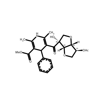 COC(=O)C1=C(C)NC(C)=C(C(=O)[C@@]2(O)CO[C@@H]3[C@@H](OC(C)=O)CO[C@@H]32)C1c1ccccc1